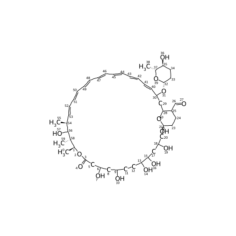 C[C@@H]1OC(=O)CC(O)CC(O)CCC(O)C(O)CC(O)CC2(O)CCC(C=O)C(CC(O[C@H]3CC[C@H](O)[C@@H](C)O3)/C=C/C=C/C=C/C=C/C=C/C=C/C=C/[C@H](C)C(O)[C@H]1C)O2